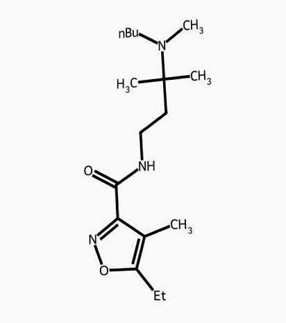 CCCCN(C)C(C)(C)CCNC(=O)c1noc(CC)c1C